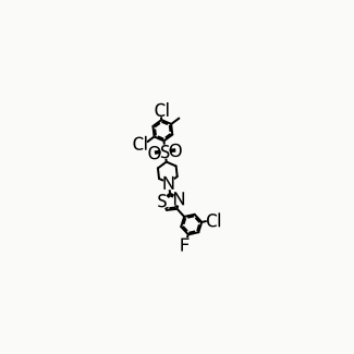 Cc1cc(S(=O)(=O)C2CCN(c3nc(-c4cc(F)cc(Cl)c4)cs3)CC2)c(Cl)cc1Cl